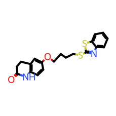 O=C1CCc2cc(OCCCCSc3nc4ccccc4s3)ccc2N1